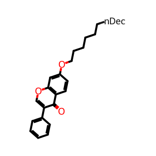 CCCCCCCCCCCCCCCCOc1ccc2c(=O)c(-c3ccccc3)coc2c1